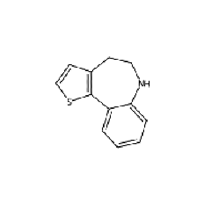 c1ccc2c(c1)NCCc1ccsc1-2